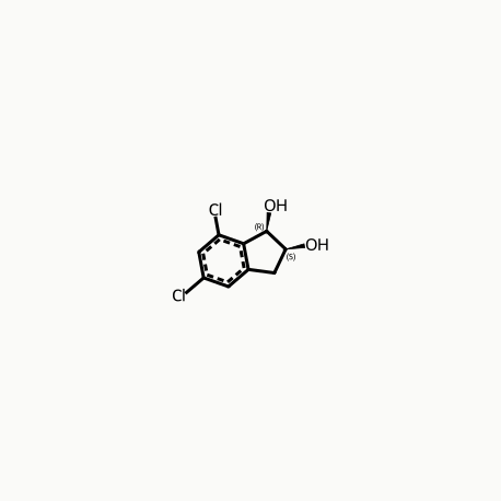 O[C@@H]1c2c(Cl)cc(Cl)cc2C[C@@H]1O